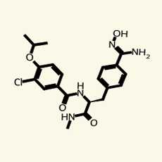 CNC(=O)[C@H](Cc1ccc(/C(N)=N/O)cc1)NC(=O)c1ccc(OC(C)C)c(Cl)c1